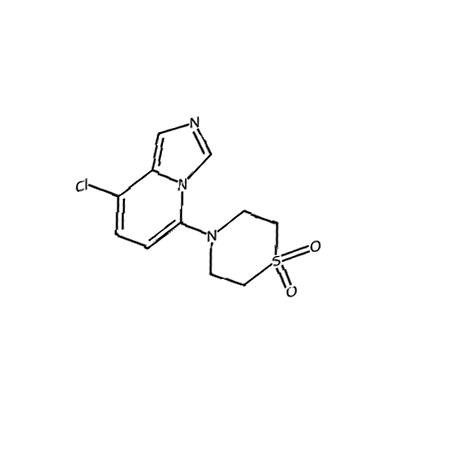 O=S1(=O)CCN(c2ccc(Cl)c3cncn23)CC1